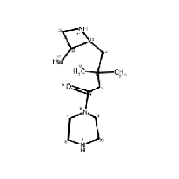 CC(C)(CC(=O)N1CCNCC1)CC1NCC1C(C)(C)C